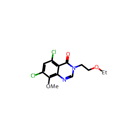 CCOCCn1cnc2c(OC)c(Cl)cc(Cl)c2c1=O